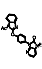 CCn1c(=O)n(-c2ccc(Oc3nc4ccccc4n3C(C)=O)cc2)c2ncccc21